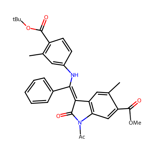 COC(=O)c1cc2c(cc1C)C(=C(Nc1ccc(C(=O)OC(C)(C)C)c(C)c1)c1ccccc1)C(=O)N2C(C)=O